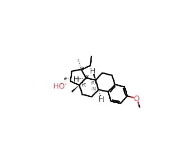 CC[C@]1(C)C[C@@H](O)[C@@]2(C)CC[C@@H]3c4ccc(OC)cc4CC[C@H]3[C@H]12